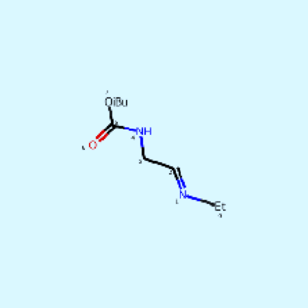 CC/N=C/CNC(=O)OCC(C)C